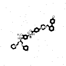 Cc1cc(S(=O)(=O)NC(=O)c2ccc(N3CCN(Cc4ccccc4-c4ccc(Cl)cc4)CC3)cc2)ccc1N[C@H](CCN1CCCCC1)CSc1ccccc1